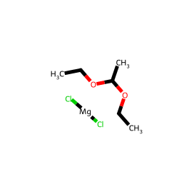 CCOC(C)OCC.[Cl][Mg][Cl]